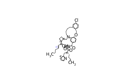 C=CCC[C@H](Cc1nccs1)S(=O)(=O)NC(=O)c1ccc2c(c1)N(C[C@@H]1CC[C@@H]1[C@@H](O)/C=C/CCC)CCCCc1cc(Cl)ccc1CO2